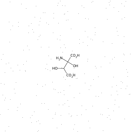 NC(O)(C(=O)O)C(O)C(=O)O